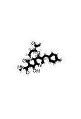 CNC(=O)c1c(O)c2ncc(Cc3ccc(F)cc3)c3c2n(c1=O)CC[C@@H](C(C)=O)O3